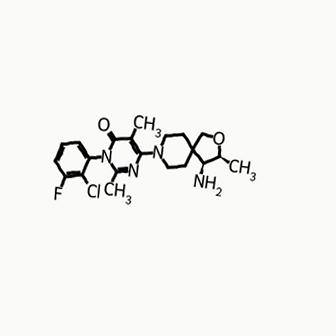 Cc1c(N2CCC3(CC2)CO[C@@H](C)[C@H]3N)nc(C)n(-c2cccc(F)c2Cl)c1=O